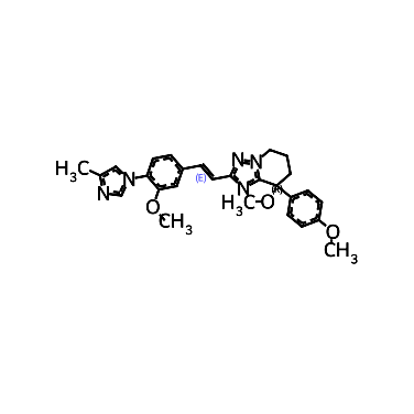 COc1ccc([C@]2(OC)CCCn3nc(/C=C/c4ccc(-n5cnc(C)c5)c(OC)c4)nc32)cc1